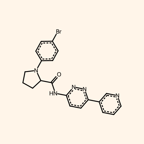 O=C(Nc1ccc(-c2cccnc2)nn1)C1CCCN1c1ccc(Br)cc1